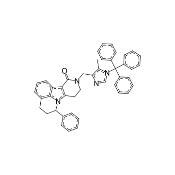 Cc1c(CN2CCc3c(c4cccc5c4n3C(c3ccccc3)CC5)C2=O)ncn1C(c1ccccc1)(c1ccccc1)c1ccccc1